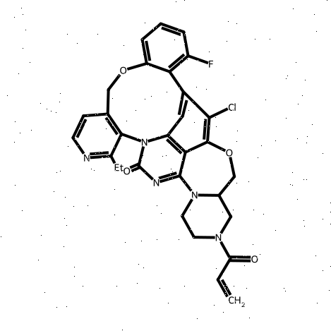 C=CC(=O)N1CCN2c3nc(=O)n4c5cc(c(Cl)c(c35)OCC2C1)-c1c(F)cccc1OCc1ccnc(CC)c1-4